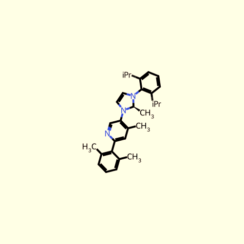 Cc1cc(-c2c(C)cccc2C)ncc1N1C=CN(c2c(C(C)C)cccc2C(C)C)[C@H]1C